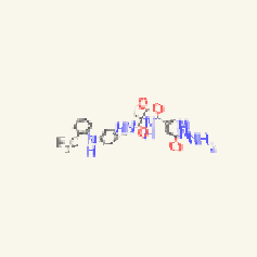 Nn1ncc(C(=O)N[C@@]2(C(=O)NCc3ccc(Nc4ccccc4C(F)(F)F)cc3)CCOC2)cc1=O